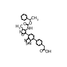 Cc1noc(-c2ccc(-c3ccc(CC(=O)O)cc3)c3nsnc23)c1NC(=O)OC(C)c1ccccc1